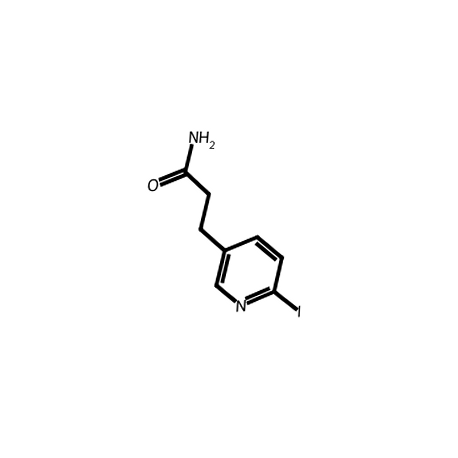 NC(=O)CCc1ccc(I)nc1